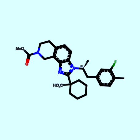 COC(=O)N1CCc2ccc3c(nc(C4(C(=O)O)CCCCC4)n3[C@H](C)Cc3ccc(C)c(F)c3)c2C1